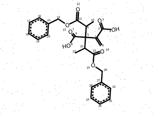 C=C(C(=O)O)C(C(=O)O)(C(C)C(=O)OCc1ccccc1)C(C)C(=O)OCc1ccccc1